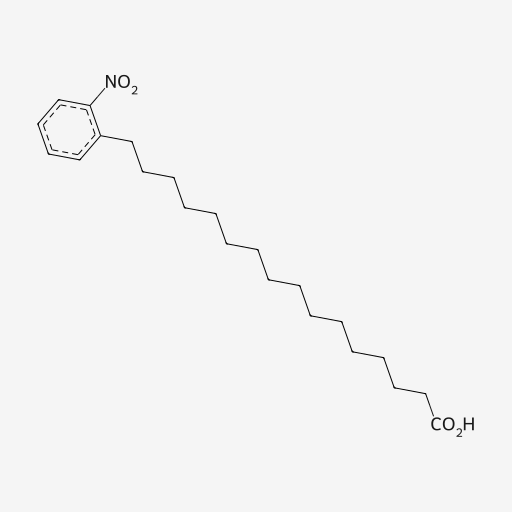 O=C(O)CCCCCCCCCCCCCCCc1ccccc1[N+](=O)[O-]